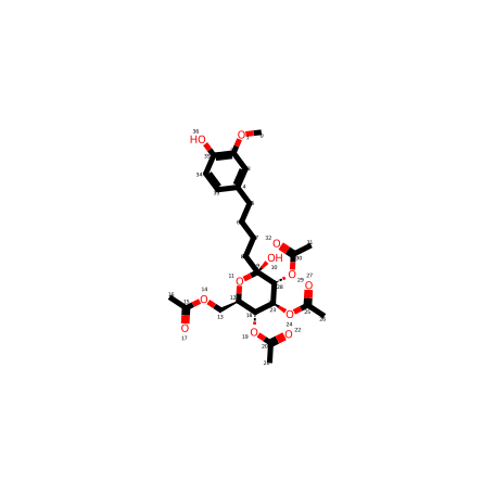 COc1cc(CCCC[C@@]2(O)O[C@H](COC(C)=O)[C@@H](OC(C)=O)[C@H](OC(C)=O)[C@H]2OC(C)=O)ccc1O